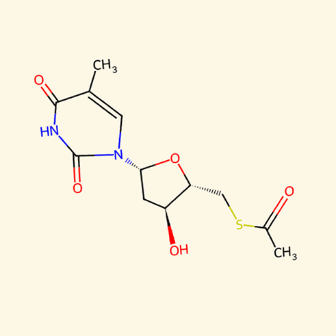 CC(=O)SC[C@H]1O[C@@H](n2cc(C)c(=O)[nH]c2=O)C[C@@H]1O